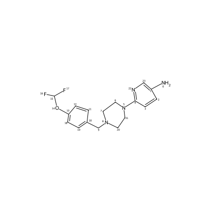 Nc1ccc(N2CCN(Cc3ccc(OC(F)F)cc3)CC2)nc1